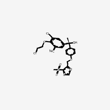 C[C@@](O)(c1ccc(OCc2ocnc2S(C)(=O)=O)cc1)c1cc(Cl)c(OCCCl)c(C#N)c1